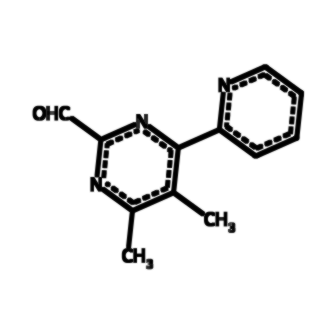 Cc1nc(C=O)nc(-c2ccccn2)c1C